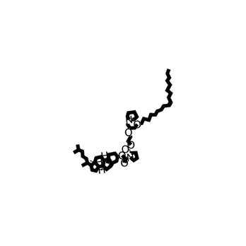 CCCCCCCC/C=C\CCCCCCCCOCC(CN1CCCCC1)OCCOC(=O)[C@@H]1CCCN1C(=O)OC1CCC2(C)C(=CC[C@@H]3[C@@H]2CC[C@]2(C)C(C(C)CCCC(C)C)CC[C@@H]32)C1